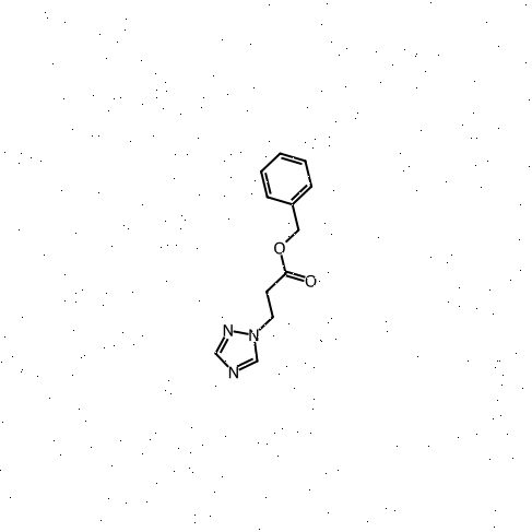 O=C(CCn1cncn1)OCc1ccccc1